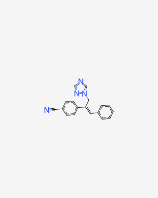 N#Cc1ccc(C(=Cc2ccccc2)Cn2cncn2)cc1